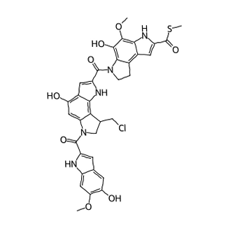 COc1cc2[nH]c(C(=O)N3CC(CCl)c4c3cc(O)c3cc(C(=O)N5CCc6c5c(O)c(OC)c5[nH]c(C(=O)SC)cc65)[nH]c43)cc2cc1O